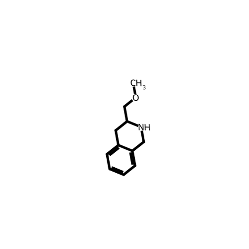 COCC1Cc2ccccc2CN1